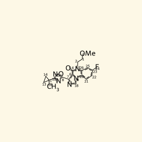 COCCn1c(=O)c2c(-c3nc(C4(C)CC4)no3)ncn2c2ccc(F)cc21